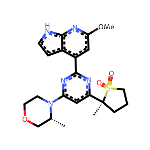 COc1cc(-c2nc(N3CCOC[C@H]3C)cc([C@]3(C)CCCS3(=O)=O)n2)c2cc[nH]c2n1